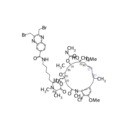 C=NC(=O)O[C@H]1C[C@](C)(O)[C@H](OC)/C=C/C=C(\C)Cc2cc(OC)c(Cl)c(c2)N(C)C(=O)C[C@H](OC(=O)[C@@H](C)N(C)C(=O)CCCCCNC(=O)c2ccc3nc(CBr)c(CBr)nc3c2)[C@]2(C)OC2[C@@H]1C